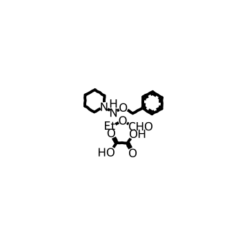 CCOC=O.O=C(O)C(=O)O.c1ccc(CONN2CCCCC2)cc1